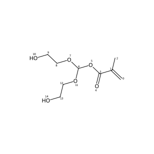 C=C(C)C(=O)OC(OCCO)OCCO